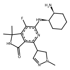 CN1CC(c2nc(N[C@@H]3CCCC[C@@H]3N)c(F)c3c2C(=O)NC3(C)C)C=N1